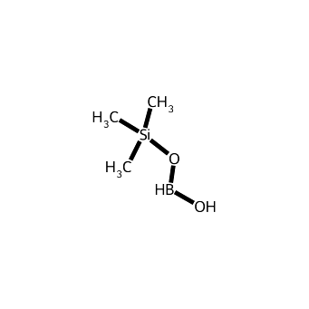 C[Si](C)(C)OBO